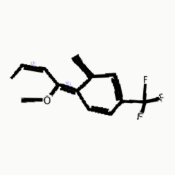 C=c1cc(C(F)(F)F)cc/c1=C(/C=C\C)OC